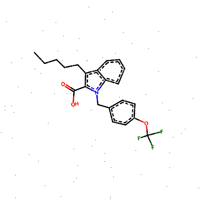 CCCCCc1c(C(=O)O)n(Cc2ccc(OC(F)(F)F)cc2)c2ccccc12